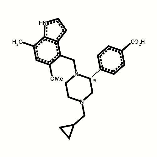 COc1cc(C)c2[nH]ccc2c1CN1CCN(CC2CC2)C[C@H]1c1ccc(C(=O)O)cc1